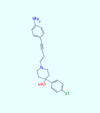 Nc1ccc(C#CCCN2CCC(O)(c3ccc(Cl)cc3)CC2)cc1